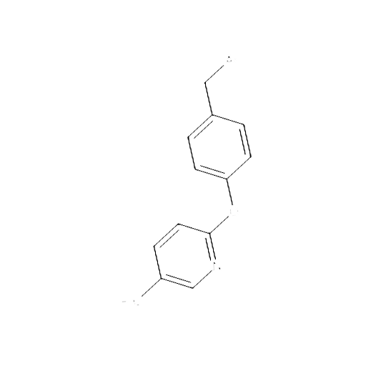 CC(=O)Cc1ccc(Oc2ccc(C(F)(F)F)cn2)cc1